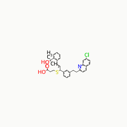 CC(C)(O)c1ccccc1CCC(SCCC(=O)O)c1cccc(CCc2ccc3ccc(Cl)cc3n2)c1